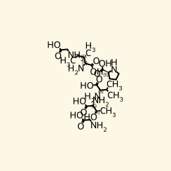 CC(C)[C@H](N)C(=O)O.CC[C@H](C)[C@H](N)C(=O)O.C[C@@H](O)[C@H](N)C(=O)O.NCC(=O)O.NCC(=O)O.O=C(O)[C@@H]1CCCN1